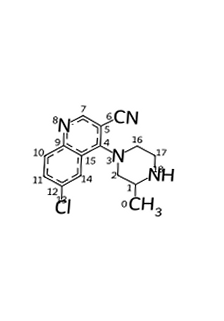 CC1CN(c2c(C#N)cnc3ccc(Cl)cc23)CCN1